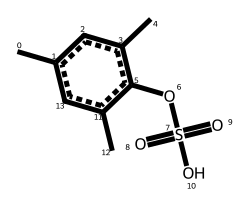 Cc1cc(C)c(OS(=O)(=O)O)c(C)c1